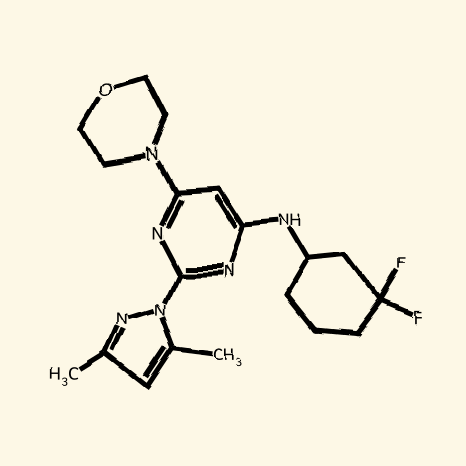 Cc1cc(C)n(-c2nc(NC3CCCC(F)(F)C3)cc(N3CCOCC3)n2)n1